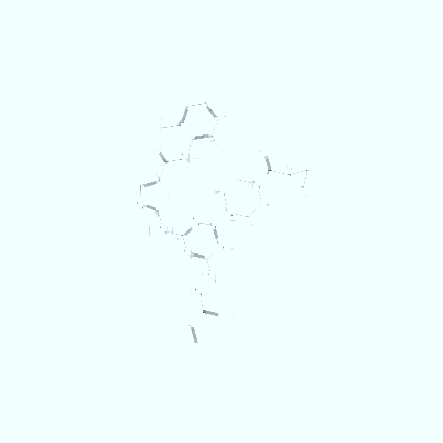 C=CC(=O)NNc1nc(Nc2ncc(C(=O)Nc3c(C)cccc3Cl)s2)nc(N2CCN(C(=O)C3CC3)CC2)n1